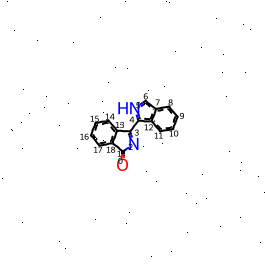 O=C1N=C(c2[nH]cc3ccccc23)c2ccccc21